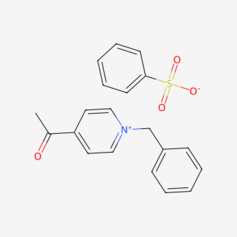 CC(=O)c1cc[n+](Cc2ccccc2)cc1.O=S(=O)([O-])c1ccccc1